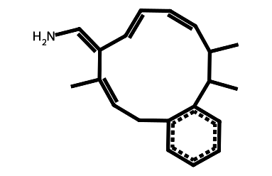 C\C1=C\Cc2ccccc2C(C)C(C)\C=C/C=C/C1=C/N